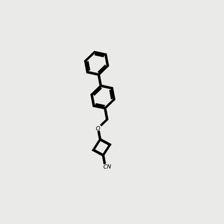 N#CC1CC(OCc2ccc(-c3ccccc3)cc2)C1